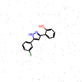 Oc1ccccc1-c1cc(-c2cccc(F)c2)[nH]n1